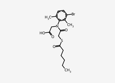 CCCCCC(=O)SCC(=O)N(CC(=O)O)c1c(C)ccc(Br)c1C